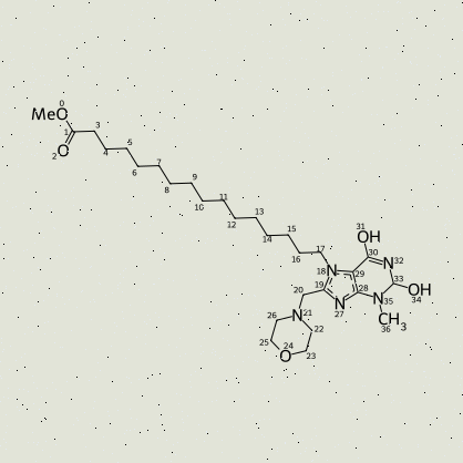 COC(=O)CCCCCCCCCCCCCCCn1c(CN2CCOCC2)nc2c1C(O)=NC(O)N2C